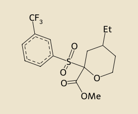 CCC1CCOC(C(=O)OC)(S(=O)(=O)c2cccc(C(F)(F)F)c2)C1